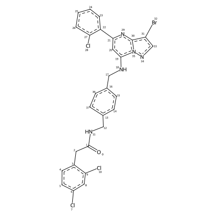 O=C(Cc1ccc(Cl)cc1Cl)NCc1ccc(CNc2cc(-c3ccccc3Cl)nc3c(Br)cnn23)cc1